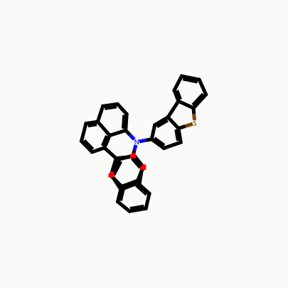 c1ccc(-c2cccc3cccc(N(c4ccc5ccccc5c4)c4ccc5sc6ccccc6c5c4)c23)cc1